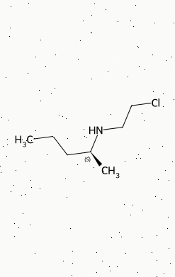 CCC[C@H](C)NCCCl